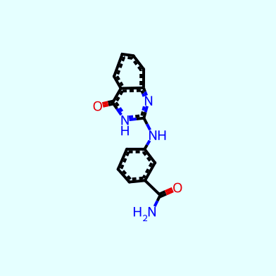 NC(=O)c1cccc(Nc2nc3ccccc3c(=O)[nH]2)c1